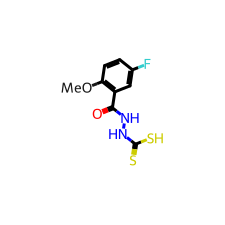 COc1ccc(F)cc1C(=O)NNC(=S)S